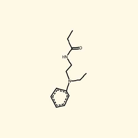 CCC(=O)NCCN(CC)c1ccccc1